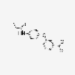 CCCC(=O)Nc1ccc(Oc2cccc(C(=O)OC)c2)cc1